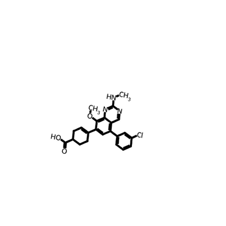 CNc1ncc2c(-c3cccc(Cl)c3)cc(C3=CCC(C(=O)O)CC3)c(OC)c2n1